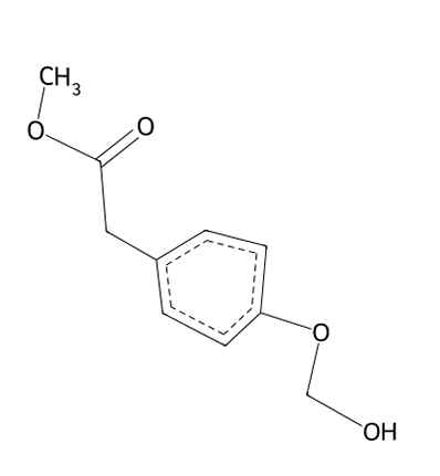 COC(=O)Cc1ccc(OCO)cc1